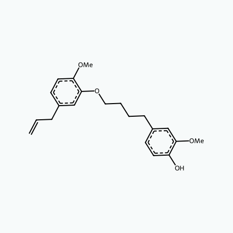 C=CCc1ccc(OC)c(OCCCCc2ccc(O)c(OC)c2)c1